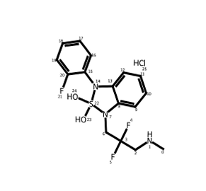 CNCC(F)(F)CN1c2ccccc2N(c2ccccc2F)S1(O)O.Cl